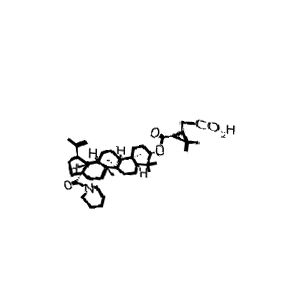 C=C(C)[C@@H]1CC[C@]2(C(=O)N3CCCCC3)CC[C@]3(C)[C@H](CC[C@@H]4[C@@]5(C)CC[C@H](OC(=O)[C@H]6[C@@H](CC(=O)O)C6(C)C)C(C)(C)[C@@H]5CC[C@]43C)[C@@H]12